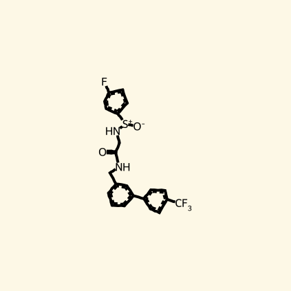 O=C(CN[S+]([O-])c1ccc(F)cc1)NCc1cccc(-c2ccc(C(F)(F)F)cc2)c1